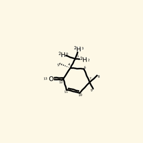 [2H]C([2H])([2H])[C@@]1(C)CC(C)(C)C=CC1=O